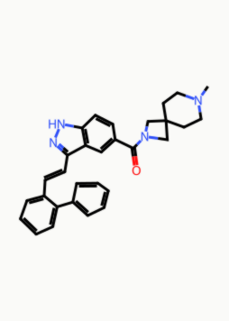 CN1CCC2(CC1)CN(C(=O)c1ccc3[nH]nc(C=Cc4ccccc4-c4ccccc4)c3c1)C2